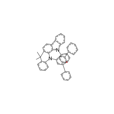 CC1(C)c2ccccc2N(c2cc(-c3ccccc3)cc(-c3ccccc3)c2)c2c1ccc1c3ccccc3n(-c3ccccc3)c21